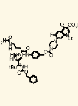 CCn1cc(C(=O)O)c(=O)c2cc(F)c(N3CCN(C(=O)OCc4ccc(NC(=O)[C@H](CCCNC(N)=O)N5C=C([C@@H](NC(=O)OCc6ccccc6)C(C)(C)C)NN5)cc4)CC3)cc21